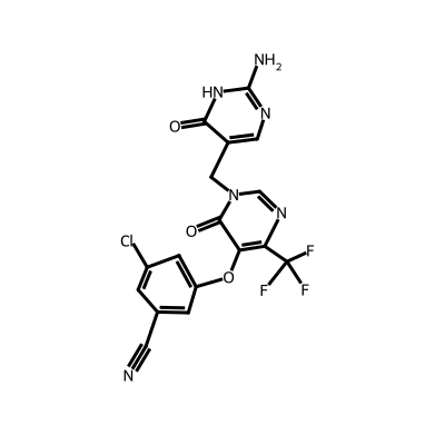 N#Cc1cc(Cl)cc(Oc2c(C(F)(F)F)ncn(Cc3cnc(N)[nH]c3=O)c2=O)c1